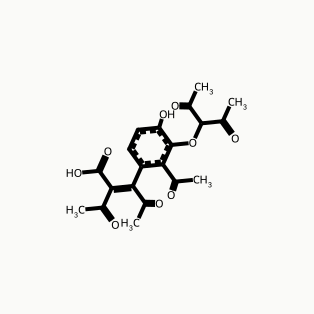 CC(=O)C(C(=O)O)=C(C(C)=O)c1ccc(O)c(OC(C(C)=O)C(C)=O)c1C(C)=O